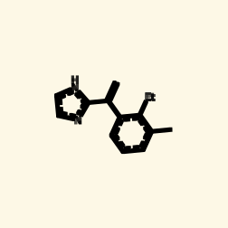 C=C(c1ncc[nH]1)c1cccc(C)c1CC